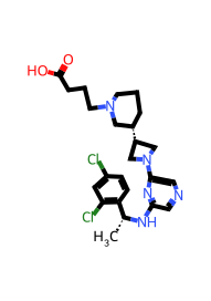 C[C@@H](Nc1cncc(N2CC([C@H]3CCCN(CCCC(=O)O)C3)C2)n1)c1ccc(Cl)cc1Cl